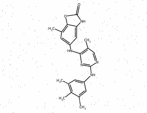 Cc1cnc(Nc2cc(C)c(C)c(C)c2)nc1Nc1cc(C)c2oc(=O)[nH]c2c1